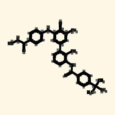 Cc1c(NC(=O)c2ccc(C(C)(C)C)cc2)cccc1-c1cn(C)c(=O)c(Nc2ccc(C(=O)NO)cc2)n1